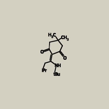 CC(C)CC(NC(C)(C)C)=C1C(=O)CC(C)(C)CC1=O